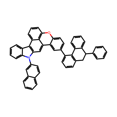 c1ccc(C2Cc3cccc(-c4ccc5c(c4)-c4cc6c(c7cccc(c47)O5)c4ccccc4n6-c4ccc5ccccc5c4)c3-c3ccccc32)cc1